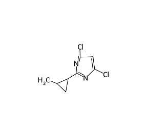 CC1CC1c1nc(Cl)cc(Cl)n1